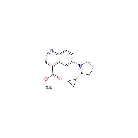 CC(C)(C)OC(=O)c1ccnc2ccc(N3CCC[C@@H]3C3CC3)cc12